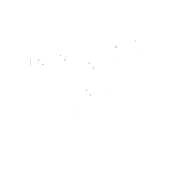 C/C=C\C=C(/C)CN(C(=O)C1CC1)C1CC(C(=O)N2CCNCC2)N(Cc2ccc3c(c2)OCO3)C1